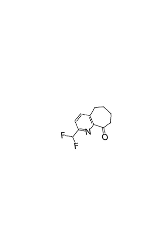 O=C1CCCCc2ccc(C(F)F)nc21